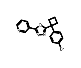 Brc1ccc(C2(c3nnc(-c4cccnc4)o3)CCC2)cc1